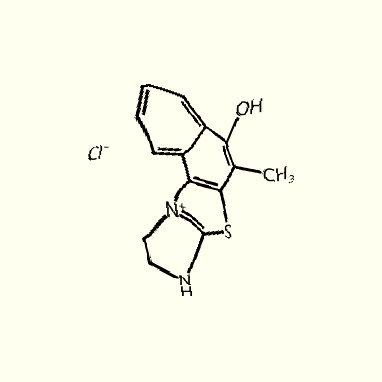 Cc1c(O)c2ccccc2c2c1sc1[n+]2CCN1.[Cl-]